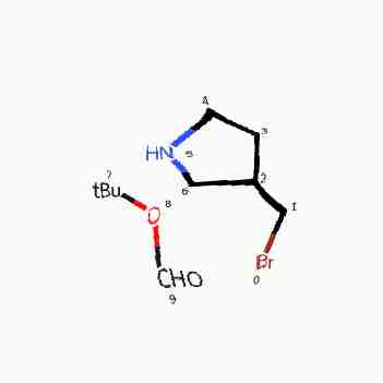 BrCC1CCNC1.CC(C)(C)OC=O